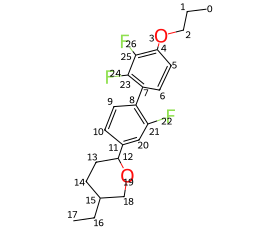 CCCOc1ccc(-c2ccc(C3CCC(CC)CO3)cc2F)c(F)c1F